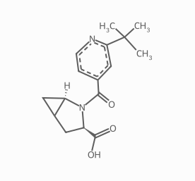 CC(C)(C)c1cc(C(=O)N2[C@@H](C(=O)O)CC3C[C@H]32)ccn1